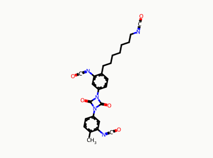 Cc1ccc(N2C(=O)N(c3ccc(CCCCCCCN=C=O)c(N=C=O)c3)C2=O)cc1N=C=O